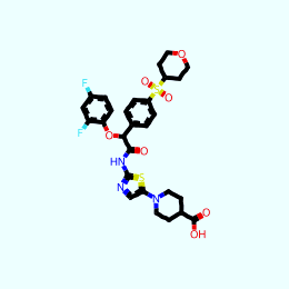 O=C(O)C1CCN(c2cnc(NC(=O)C(Oc3ccc(F)cc3F)c3ccc(S(=O)(=O)C4CCOCC4)cc3)s2)CC1